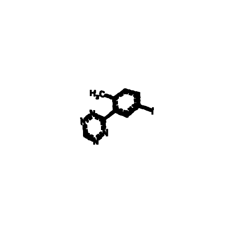 Cc1ccc(I)cc1-c1nncnn1